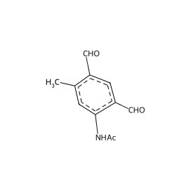 CC(=O)Nc1cc(C)c(C=O)cc1C=O